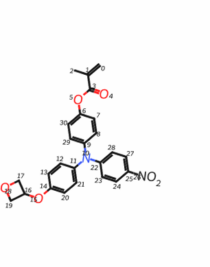 C=C(C)C(=O)Oc1ccc(N(c2ccc(OC3COC3)cc2)c2ccc([N+](=O)[O-])cc2)cc1